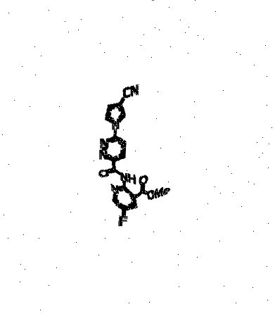 COC(=O)c1cc(F)cnc1NC(=O)c1ccc(-n2ccc(C#N)c2)nn1